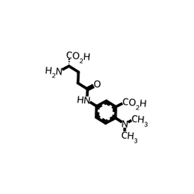 CN(C)c1ccc(NC(=O)CC[C@H](N)C(=O)O)cc1C(=O)O